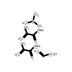 C=C(C)C(=O)OC.C=C(C)C(=O)OC.C=CC(=O)OCC.CN(C)C